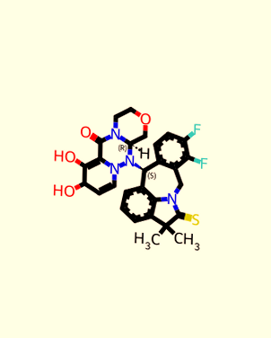 CC1(C)C(=S)N2Cc3c(ccc(F)c3F)[C@H](N3[C@@H]4COCCN4C(=O)C4=C(O)C(O)C=CN43)c3cccc1c32